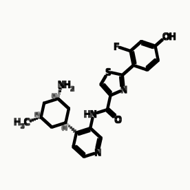 C[C@@H]1C[C@H](N)C[C@H](c2ccncc2NC(=O)c2csc(-c3ccc(O)cc3F)n2)C1